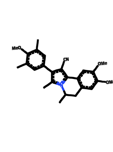 COc1cc2c(cc1OC)-c1c(C#N)c(-c3cc(C)c(OC)c(C)c3)c(C)n1C(C)C2